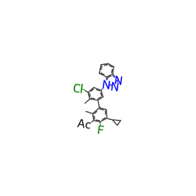 CC(=O)c1c(C)c(-c2cc(-n3nnc4ccccc43)cc(Cl)c2C)cc(C2CC2)c1F